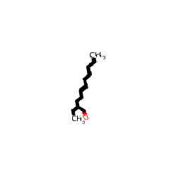 CCCCC/C=C/CCC(C=O)CC